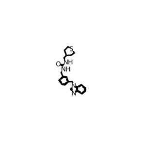 O=C(NCc1cccc(Cn2cnc3ccccc32)c1)NCC1CCSCC1